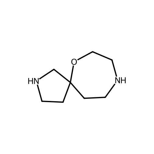 C1COC2(CCN1)CCNC2